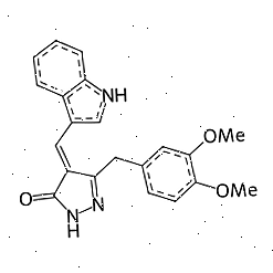 COc1ccc(CC2=NNC(=O)C2=Cc2c[nH]c3ccccc23)cc1OC